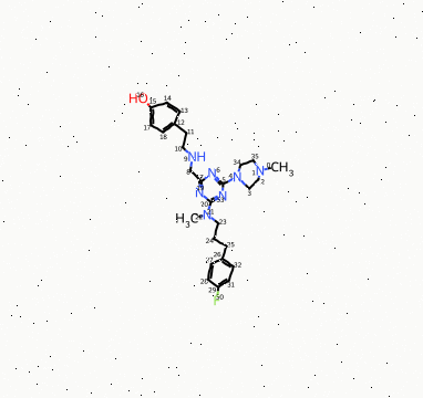 CN1CCN(c2nc(CNCCc3ccc(O)cc3)nc(N(C)CCCc3ccc(F)cc3)n2)CC1